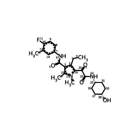 CCc1c(C(=O)Nc2ccc(F)c(C)c2)c(C)n(C)c1C(=O)C(=O)N[C@H]1CC[C@@H](O)CC1